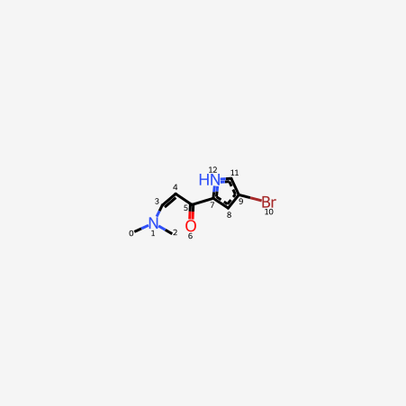 CN(C)/C=C\C(=O)c1cc(Br)c[nH]1